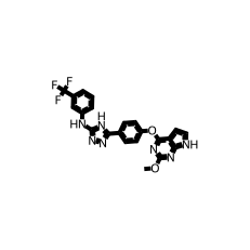 COc1nc(Oc2ccc(-c3nnc(Nc4cccc(C(F)(F)F)c4)[nH]3)cc2)c2cc[nH]c2n1